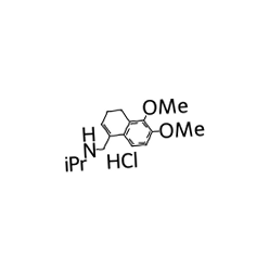 COc1ccc2c(c1OC)CCC=C2CNC(C)C.Cl